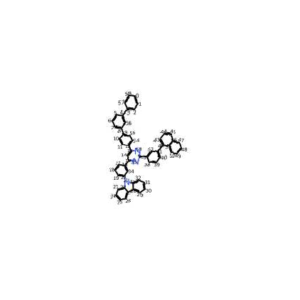 c1ccc(-c2cccc(-c3ccc(-c4cc(-c5cccc(-n6c7ccccc7c7ccccc76)c5)nc(-c5cccc(-c6cccc7ccccc67)c5)n4)cc3)c2)cc1